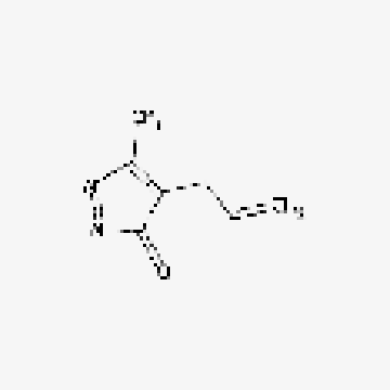 C=CCC1=C(C)N=NC1=O